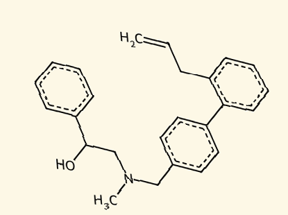 C=CCc1ccccc1-c1ccc(CN(C)CC(O)c2ccccc2)cc1